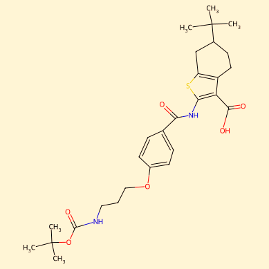 CC(C)(C)OC(=O)NCCCOc1ccc(C(=O)Nc2sc3c(c2C(=O)O)CCC(C(C)(C)C)C3)cc1